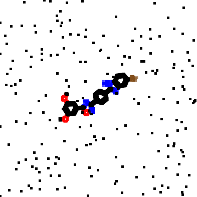 COc1cc(OC)cc(-c2nc(-c3ccc(-c4nc5cc(Br)ccc5[nH]4)cc3)no2)c1